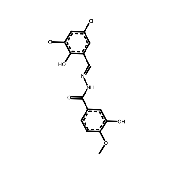 COc1ccc(C(=O)N/N=C/c2cc(Cl)cc(Cl)c2O)cc1O